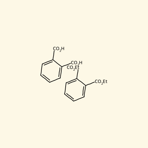 CCOC(=O)c1ccccc1C(=O)OCC.O=C(O)c1ccccc1C(=O)O